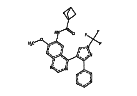 COc1cc2ncnc(-c3cn(C(F)(F)F)nc3-c3ccccc3)c2cc1NC(=O)C12CC(C1)C2